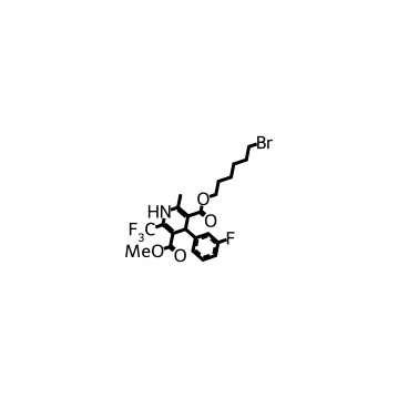 COC(=O)C1=C(C(F)(F)F)NC(C)=C(C(=O)OCCCCCCBr)C1c1cccc(F)c1